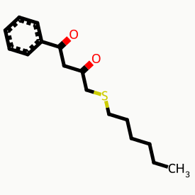 CCCCCCSCC(=O)CC(=O)c1ccccc1